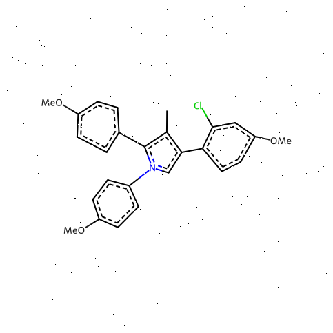 COc1ccc(-c2c(C)c(-c3ccc(OC)cc3Cl)cn2-c2ccc(OC)cc2)cc1